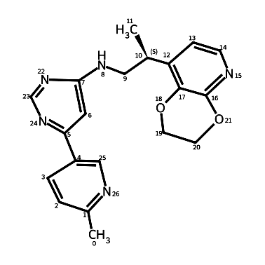 Cc1ccc(-c2cc(NC[C@@H](C)c3ccnc4c3OCCO4)ncn2)cn1